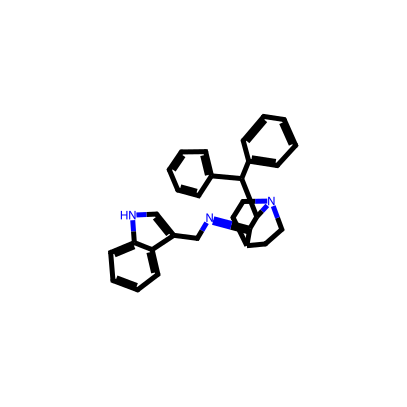 c1ccc(C(c2ccccc2)C2C(=NCc3c[nH]c4ccccc34)C3CCN2CC3)cc1